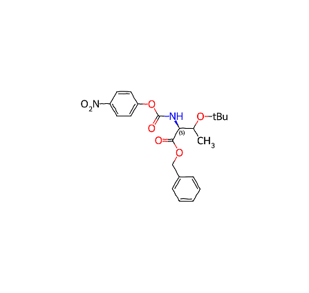 CC(OC(C)(C)C)[C@H](NC(=O)Oc1ccc([N+](=O)[O-])cc1)C(=O)OCc1ccccc1